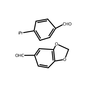 CC(C)c1ccc(C=O)cc1.O=Cc1ccc2c(c1)OCO2